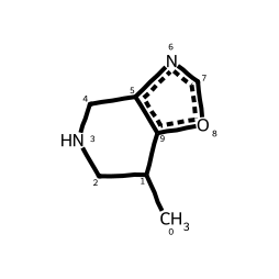 CC1CNCc2ncoc21